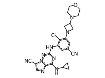 N#Cc1cc(Nc2nc(NC3CC3)c3ncc(C#N)n3n2)c(Cl)c(N2CC(N3CCOCC3)C2)c1